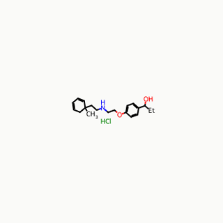 CCC(O)c1ccc(OCCNCCC2(C)C=CC=CC2)cc1.Cl